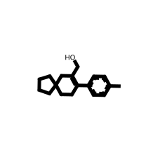 Cc1ccc(C2=C(CO)CC3(CCCC3)CC2)cc1